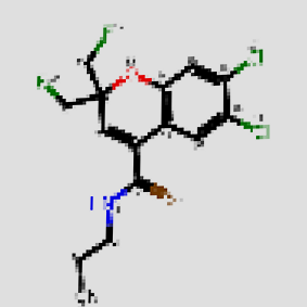 N#CCCNC(=S)C1=CC(CF)(CF)Oc2cc(Cl)c(Cl)cc21